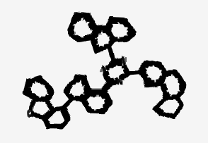 C1=CC2Oc3ccccc3C2C(c2cccc3c(-c4nc(-c5ccc6ccc7c(c6c5)C=CCC7)nc(-c5cc6ccccc6c6ccccc56)n4)cccc23)=C1